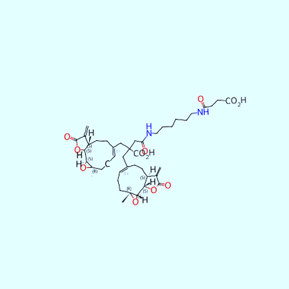 C=C1C(=O)O[C@H]2[C@H]1CC/C(CC(CC(=O)NCCCCCCNC(=O)CCC(=O)O)(C/C1=C/CC[C@@]3(C)O[C@H]3[C@H]3OC(=O)C(=C)[C@@H]3CC1)C(=O)O)=C\CC[C@@]1(C)O[C@@H]21